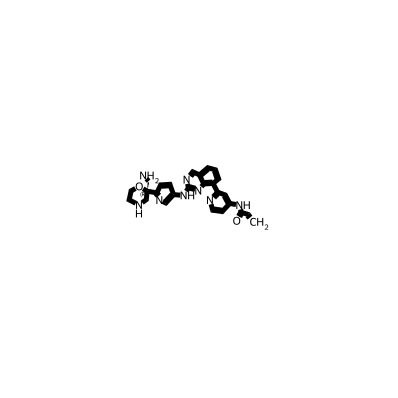 C=CC(=O)Nc1ccnc(-c2cccc3cnc(Nc4ccc([C@@]5(CN)CNCCO5)nc4)nc23)c1